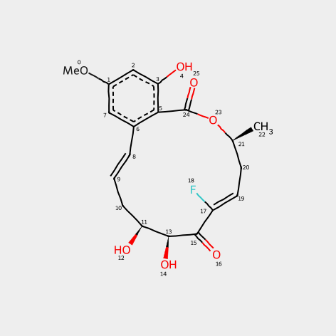 COc1cc(O)c2c(c1)/C=C/C[C@H](O)[C@H](O)C(=O)/C(F)=C/C[C@H](C)OC2=O